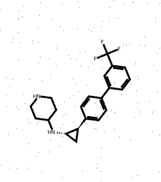 FC(F)(F)c1cccc(-c2ccc([C@H]3C[C@@H]3NC3CCNCC3)cc2)c1